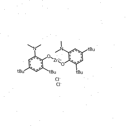 CN(C)c1cc(C(C)(C)C)cc(C(C)(C)C)c1[O][Zr+2][O]c1c(N(C)C)cc(C(C)(C)C)cc1C(C)(C)C.[Cl-].[Cl-]